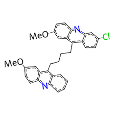 COc1ccc2nc3ccccc3c(CCCCc3c4ccc(Cl)cc4nc4ccc(OC)cc34)c2c1